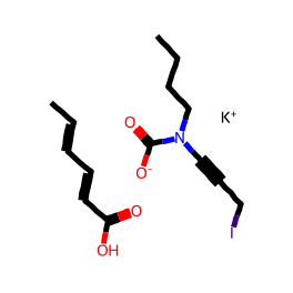 C/C=C/C=C/C(=O)O.CCCCN(C#CCI)C(=O)[O-].[K+]